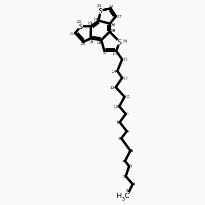 CCCCCCCCCCCCCCCCc1cc2c3ccsc3c3sccc3c2s1